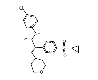 O=C(Nc1ccc(Cl)cn1)[C@H](CC1CCOCC1)c1ccc(S(=O)(=O)C2CC2)cc1